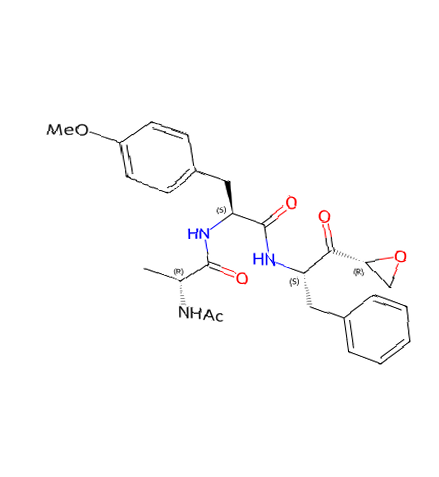 COc1ccc(C[C@H](NC(=O)[C@@H](C)NC(C)=O)C(=O)N[C@@H](Cc2ccccc2)C(=O)[C@H]2CO2)cc1